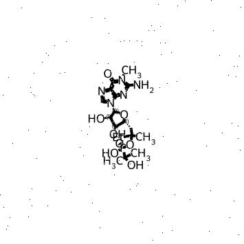 CCC(C)(C[C@H]1O[C@@H](n2cnc3c(=O)n(C)c(N)nc32)[C@H](O)[C@@H]1O)OP(=O)(O)C(C)(C)O